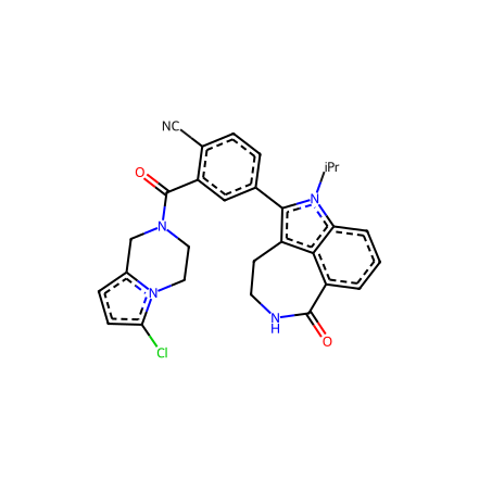 CC(C)n1c(-c2ccc(C#N)c(C(=O)N3CCn4c(Cl)ccc4C3)c2)c2c3c(cccc31)C(=O)NCC2